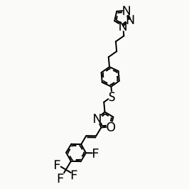 Fc1cc(C(F)(F)F)ccc1/C=C/c1nc(CSc2ccc(CCCCn3ccnn3)cc2)co1